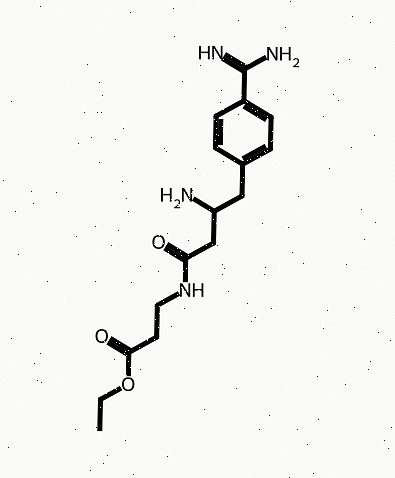 CCOC(=O)CCNC(=O)CC(N)Cc1ccc(C(=N)N)cc1